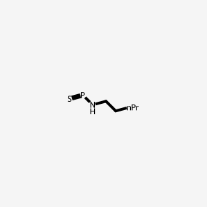 CCCCCNP=S